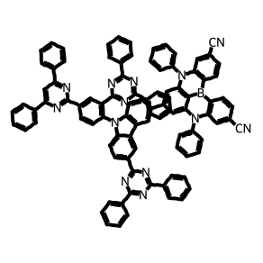 N#Cc1ccc2c(c1)N(c1ccccc1)c1cc(-c3ccc4c(c3)c3cc(-c5nc(-c6ccccc6)nc(-c6ccccc6)n5)ccc3n4-c3ccc(-c4nc(-c5ccccc5)cc(-c5ccccc5)n4)cc3-c3nc(-c4ccccc4)nc(-c4ccccc4)n3)cc3c1B2c1ccc(C#N)cc1N3c1ccccc1